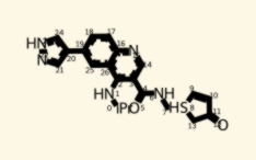 CC(C)Nc1c(C(=O)NC[SH]2C=CC(=O)C2)cnc2ccc(-c3cn[nH]c3)cc12